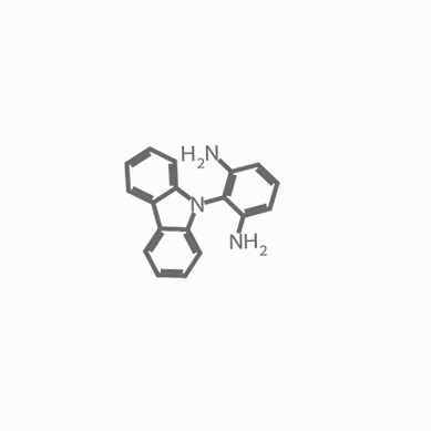 Nc1cccc(N)c1-n1c2ccccc2c2ccccc21